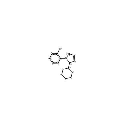 Clc1ccccc1N1NC=CC1C1CCCCC1